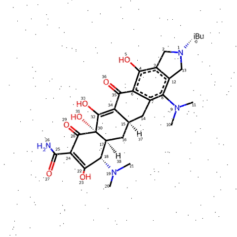 CC[C@@H](C)N1Cc2c(O)c3c(c(N(C)C)c2C1)C[C@H]1C[C@H]2[C@H](N(C)C)C(O)=C(C(N)=O)C(=O)[C@@]2(O)C(O)=C1C3=O